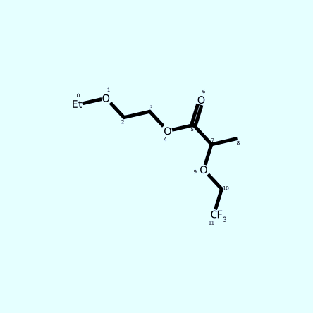 CCOCCOC(=O)C(C)OCC(F)(F)F